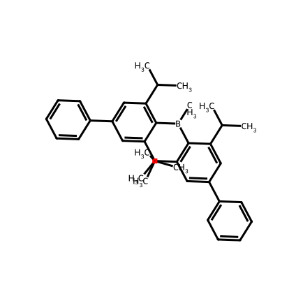 CB(c1c(C(C)C)cc(-c2ccccc2)cc1C(C)C)c1c(C(C)C)cc(-c2ccccc2)cc1C(C)C